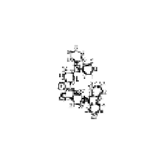 c1ccc2c(c1)c1ccccc1n2-c1ccc2oc3sc4ccc(-n5c6ccccc6c6ccccc65)cc4c3c2c1